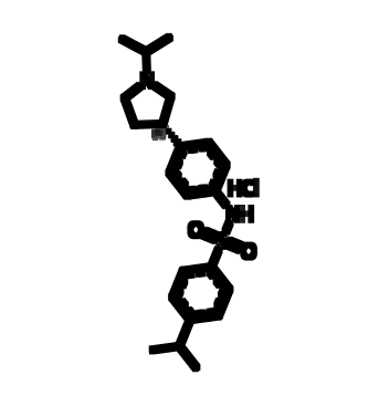 CC(C)c1ccc(S(=O)(=O)Nc2ccc([C@@H]3CCN(C(C)C)C3)cc2)cc1.Cl